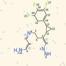 N=N/C=C(\CC/N=C\C=C/N)C1CC1C1=CC(F)=C(F)C(F)C1